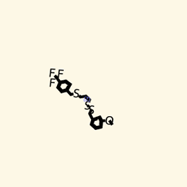 COc1cccc(CSS/C=C\CSCc2ccc(C(F)(F)F)cc2)c1